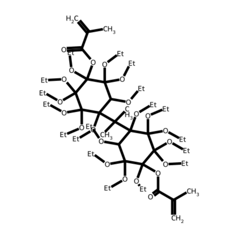 C=C(C)C(=O)OC1(OCC)C(OCC)(OCC)C(OCC)C(OCC)(C(C)(C)C2(OCC)C(OCC)C(OCC)(OCC)C(OCC)(OC(=O)C(=C)C)C(OCC)(OCC)C2(OCC)OCC)C(OCC)(OCC)C1(OCC)OCC